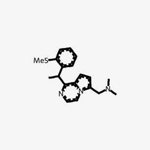 CSc1ccccc1C(C)c1nccn2c(CN(C)C)ccc12